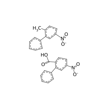 Cc1ccc([N+](=O)[O-])cc1-c1ccccc1.O=C(O)c1ccc([N+](=O)[O-])cc1-c1ccccc1